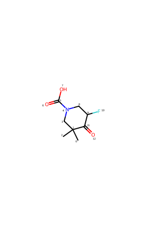 CC1(C)CN(C(=O)O)CC(F)C1=O